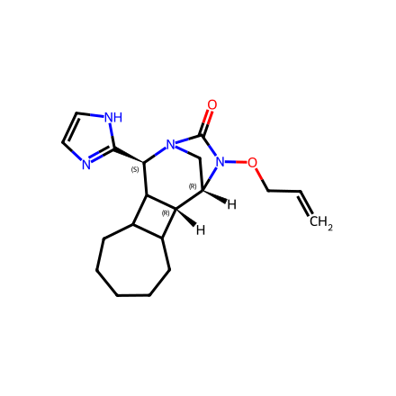 C=CCON1C(=O)N2C[C@H]1[C@@H]1C3CCCCCC3C1[C@H]2c1ncc[nH]1